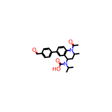 CC(=O)N1c2ccc(-c3ccc(C=O)cc3)cc2C(N(C(=O)O)C(C)C)CC1C